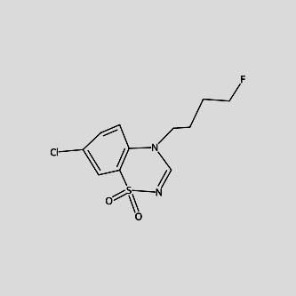 O=S1(=O)N=CN(CCCCF)c2ccc(Cl)cc21